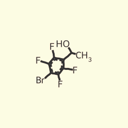 CC(O)c1c(F)c(F)c(Br)c(F)c1F